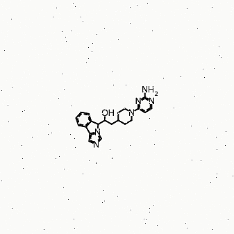 Nc1nccc(N2CCC(CC(O)C3c4ccccc4-c4cncn43)CC2)n1